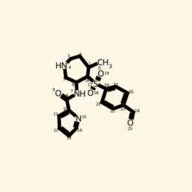 CC1CCNCC(NC(=O)c2ccccn2)C1S(=O)(=O)c1ccc(C=O)cc1